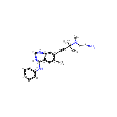 CCCN(CCN)C(C)(C)C#Cc1cc2ncnc(Nc3ccccc3)c2cc1[N+](=O)[O-]